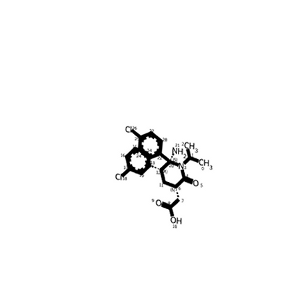 CC(C)N1C(=O)[C@H](CC(=O)O)C[C@H](c2cccc(Cl)c2)[C@@]1(N)c1ccc(Cl)cc1